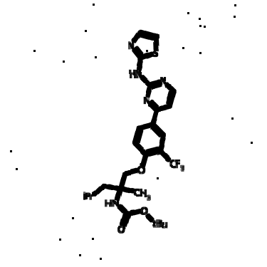 CC(C)CC(C)(COc1ccc(-c2ccnc(Nc3nccs3)n2)cc1C(F)(F)F)NC(=O)OC(C)(C)C